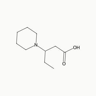 CCC(CC(=O)O)N1CCCCC1